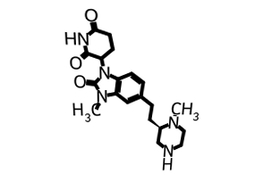 CN1CCNC[C@H]1CCc1ccc2c(c1)n(C)c(=O)n2C1CCC(=O)NC1=O